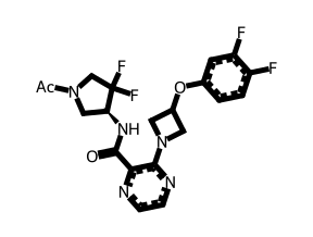 CC(=O)N1C[C@H](NC(=O)c2nccnc2N2CC(Oc3ccc(F)c(F)c3)C2)C(F)(F)C1